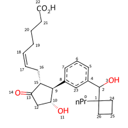 CCCC1(C(O)c2cccc([C@H]3[C@H](O)CC(=O)[C@@H]3C/C=C\CCCC(=O)O)c2)CCC1